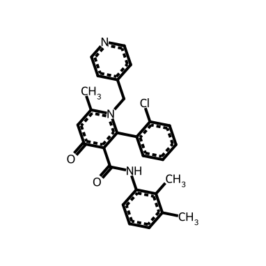 Cc1cccc(NC(=O)c2c(-c3ccccc3Cl)n(Cc3ccncc3)c(C)cc2=O)c1C